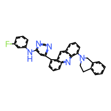 Fc1cccc(Nc2cc(-c3cccc4nc5c(N6CCc7ccccc7C6)cccc5cc34)ncn2)c1